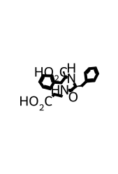 O=C(O)CCNC(=O)[C@H](Cc1ccccc1)N[C@@H](Cc1ccccc1)C(=O)O